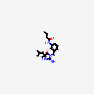 CCCC(=O)Nc1cccc(CN2C(=N)NC(C)(CC(C)C)C2=O)c1